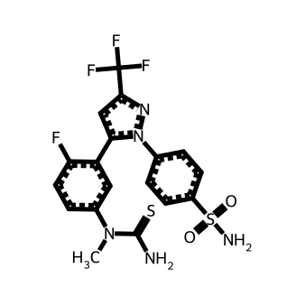 CN(C(N)=S)c1ccc(F)c(-c2cc(C(F)(F)F)nn2-c2ccc(S(N)(=O)=O)cc2)c1